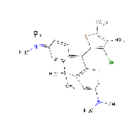 Cc1c(C(=O)O)sc(C2=C3C=CC(=[N+](C)C)C=C3[Si](C)(C)c3cc(N(C)C)ccc32)c1Br